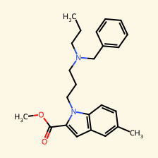 CCCN(CCCn1c(C(=O)OC)cc2cc(C)ccc21)Cc1ccccc1